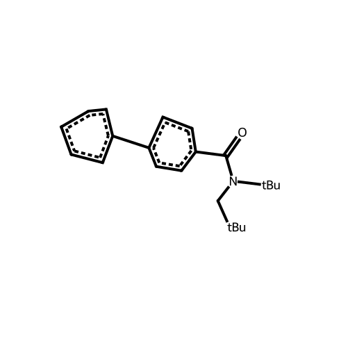 CC(C)(C)CN(C(=O)c1ccc(-c2ccccc2)cc1)C(C)(C)C